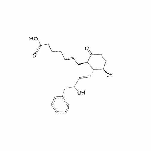 O=C(O)CCCC=CC[C@H]1C(=O)CC[C@@H](O)[C@@H]1C=CC(O)Cc1ccccc1